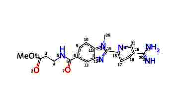 COC(=O)CCNC(=O)c1ccc2c(c1)nc(-c1ccc(C(=N)N)cn1)n2C